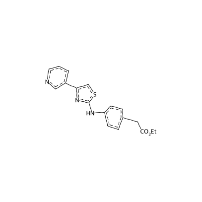 CCOC(=O)Cc1ccc(Nc2nc(-c3cccnc3)cs2)cc1